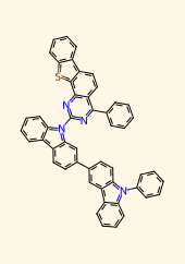 c1ccc(-c2nc(-n3c4ccccc4c4ccc(-c5ccc6c(c5)c5ccccc5n6-c5ccccc5)cc43)nc3c2ccc2c4ccccc4sc23)cc1